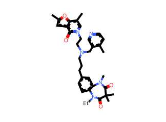 CCN1C(=O)C(C)(C)C(=O)N(C)c2cc(CCCN(CCn3cc(C)c4oc(C)cc4c3=O)Cc3cnccc3C)ccc21